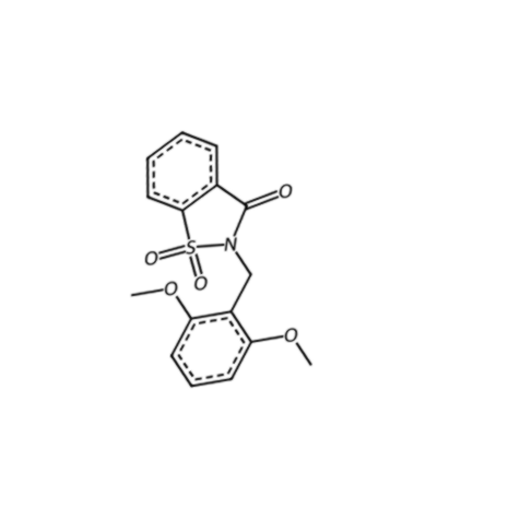 COc1cccc(OC)c1CN1C(=O)c2ccccc2S1(=O)=O